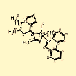 CBn1cccc1/C(CCN)=C1/C(C)=CC(C)(/C=C/c2ccccc2-c2ccccc2)N1F